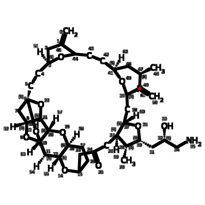 C=C1C[C@@H]2CC[C@@]34C[C@H]5O[C@H]6[C@@H](O3)[C@H]3OC(CC[C@@H]3O[C@H]6[C@H]5O4)CC(=O)C[C@@H]3[C@@H](C)[C@@H](C[C@H](O)CN)O[C@H]3C[C@H]3O[C@@H](CCC1O2)C[C@@H](C)C3=C